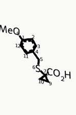 COc1ccc(CSC2(C(=O)O)CC2)cc1